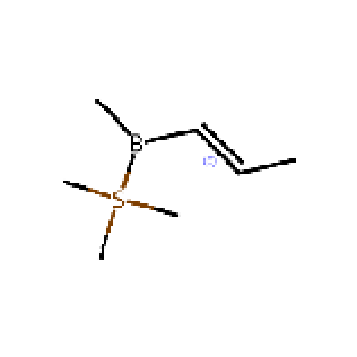 C/C=C/B(C)S(C)(C)C